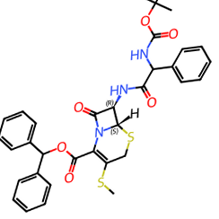 CSC1=C(C(=O)OC(c2ccccc2)c2ccccc2)N2C(=O)[C@@H](NC(=O)C(NC(=O)OC(C)(C)C)c3ccccc3)[C@@H]2SC1